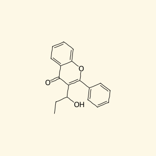 CCC(O)c1c(-c2ccccc2)oc2ccccc2c1=O